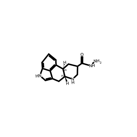 NNC(=O)C1CN[C@@H]2Cc3c[nH]c4cccc(c34)[C@H]2C1